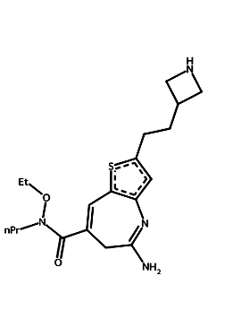 CCCN(OCC)C(=O)C1=Cc2sc(CCC3CNC3)cc2N=C(N)C1